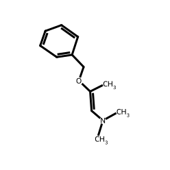 C/C(=C\N(C)C)OCc1ccccc1